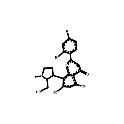 CN1CCC(c2c(O)cc(O)c3c(=O)cc(-c4ccc(Br)cc4Br)oc23)C1CO